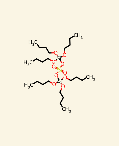 CCCCO[Si](OCCCC)(OCCCC)OS(=O)(=O)O[Si](OCCCC)(OCCCC)OCCCC